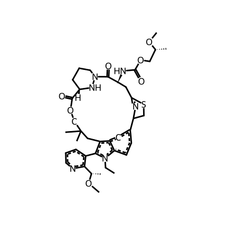 CCn1c(-c2cccnc2[C@H](C)OC)c2c3cc(ccc31)C1CSC(=N1)C[C@H](NC(=O)OC[C@@H](C)OC)C(=O)N1CCC[C@H](N1)C(=O)OCC(C)(C)C2